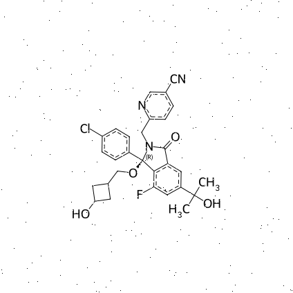 CC(C)(O)c1cc(F)c2c(c1)C(=O)N(Cc1ccc(C#N)cn1)[C@@]2(OCC1CC(O)C1)c1ccc(Cl)cc1